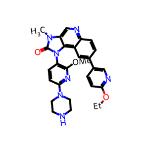 CCOc1ccc(-c2ccc3ncc4c(c3c2)n(-c2ccc(N3CCNCC3)nc2OC)c(=O)n4C)cn1